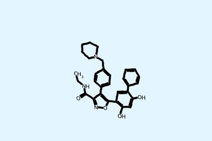 CCNC(=O)c1noc(-c2cc(-c3ccccc3)c(O)cc2O)c1-c1ccc(CN2CCCCC2)cc1